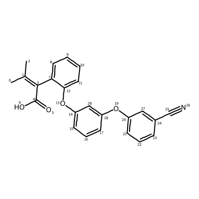 CC(C)=C(C(=O)O)c1ccccc1Oc1cccc(Oc2cccc(C#N)c2)c1